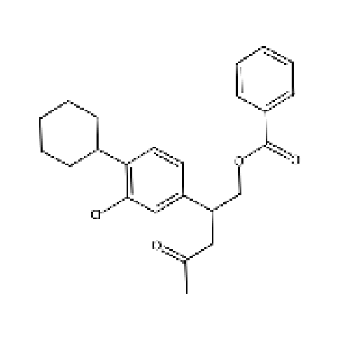 CC(=O)CC(COC(=O)c1ccccc1)c1ccc(C2CCCCC2)c(Cl)c1